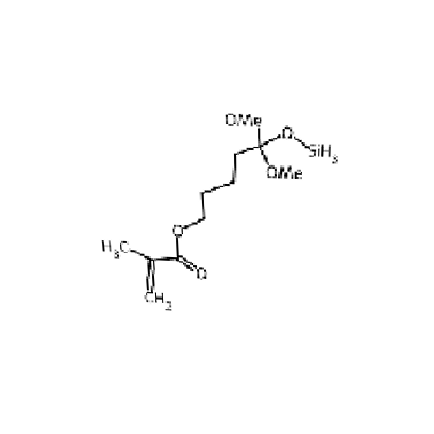 C=C(C)C(=O)OCCCCC(OC)(OC)O[SiH3]